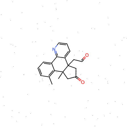 Cc1cccc2c1C1(C)CC(=O)CC1(CC=O)c1cccnc1-2